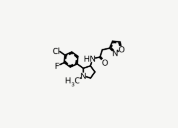 CN1CCC(NC(=O)Cc2ccon2)C1c1ccc(Cl)c(F)c1